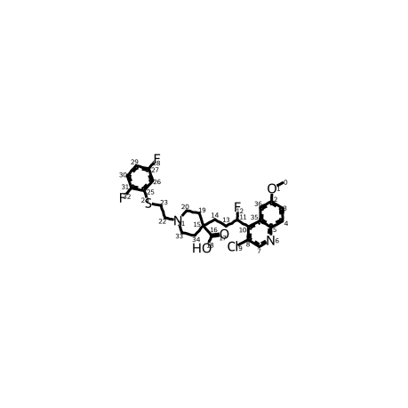 COc1ccc2ncc(Cl)c(C(F)CCC3(C(=O)O)CCN(CCSc4cc(F)ccc4F)CC3)c2c1